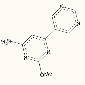 COc1nc(N)cc(-c2cncnc2)n1